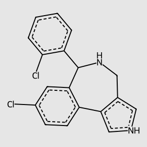 Clc1ccc2c(c1)C(c1ccccc1Cl)NCc1c[nH]cc1-2